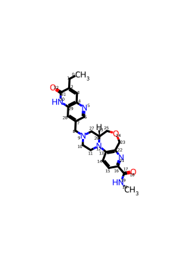 CCc1cc2ncc(CN3CCN4c5ccc(C(=O)NC)nc5COC[C@H]4C3)cc2[nH]c1=O